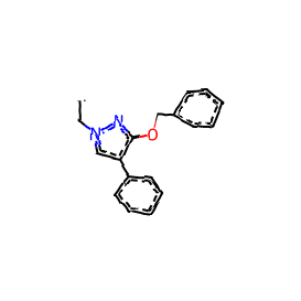 [CH2]Cn1cc(-c2ccccc2)c(OCc2ccccc2)n1